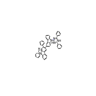 CC1(n2c3ccccc3c3cc(-c4ccc5c(c4)c4ccccc4n5/C(=N/C(=N)c4ccccc4)NCc4ccccc4)c(-c4ccccc4)cc32)C=CC=CC1